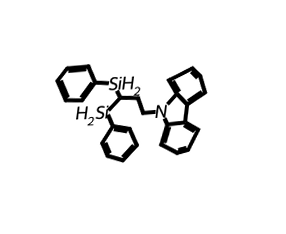 c1ccc([SiH2]C(CCn2c3ccccc3c3ccccc32)[SiH2]c2ccccc2)cc1